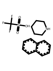 C1CCNCC1.O=S(=O)(O)C(F)(F)F.c1ccc2ccccc2c1